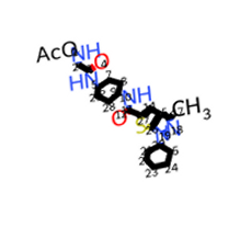 CC(=O)ONCC(=O)N[C@H]1CC[C@H](NC(=O)c2cc3c(C)nn(C4CCCCC4)c3s2)CC1